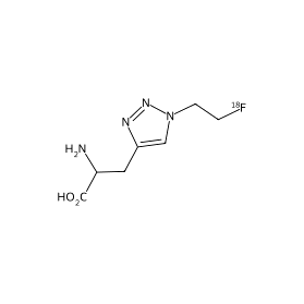 NC(Cc1cn(CC[18F])nn1)C(=O)O